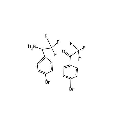 NC(c1ccc(Br)cc1)C(F)(F)F.O=C(c1ccc(Br)cc1)C(F)(F)F